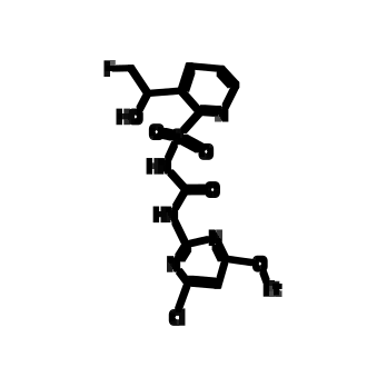 CCOc1cc(Cl)nc(NC(=O)NS(=O)(=O)c2ncccc2C(O)CF)n1